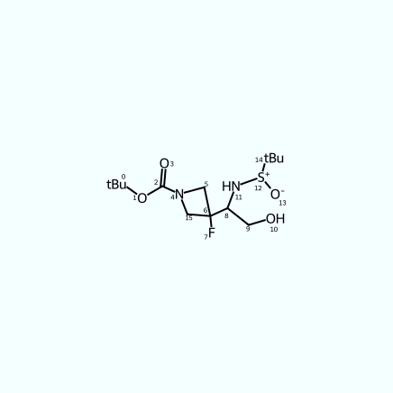 CC(C)(C)OC(=O)N1CC(F)(C(CO)N[S+]([O-])C(C)(C)C)C1